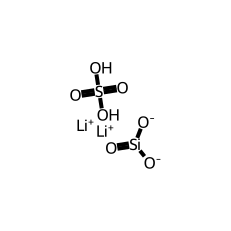 O=S(=O)(O)O.O=[Si]([O-])[O-].[Li+].[Li+]